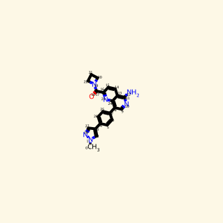 Cn1cc(-c2ccc(-c3cnc(N)c4ccc(C(=O)N5CCC5)nc34)cc2)cn1